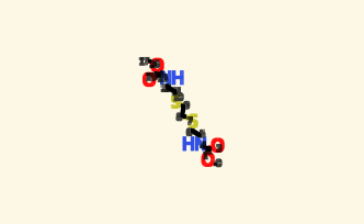 COC(=O)NCCSCCSCCNC(=O)OC